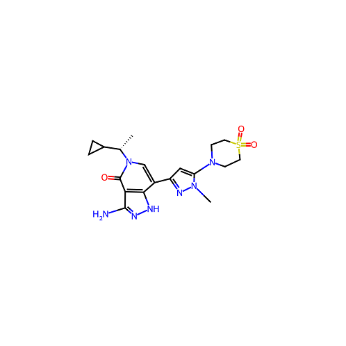 C[C@@H](C1CC1)n1cc(-c2cc(N3CCS(=O)(=O)CC3)n(C)n2)c2[nH]nc(N)c2c1=O